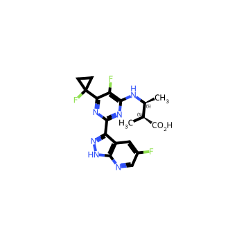 C[C@H](Nc1nc(-c2n[nH]c3ncc(F)cc23)nc(C2(F)CC2)c1F)[C@H](C)C(=O)O